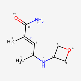 C/C(=C\C(C)NC1COC1)C(N)=O